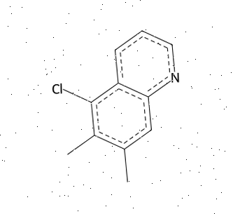 Cc1cc2ncccc2c(Cl)c1C